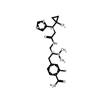 CN(C)[C@H](CNC(=O)C[C@@H](c1cncs1)C1(C(F)(F)F)CC1)Cc1ccc(C(N)=O)c(F)c1